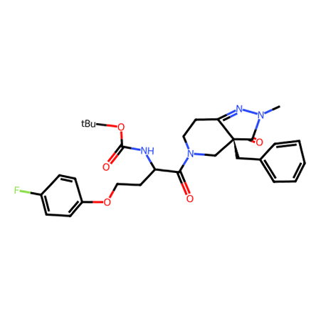 CN1N=C2CCN(C(=O)C(CCOc3ccc(F)cc3)NC(=O)OC(C)(C)C)C[C@@]2(Cc2ccccc2)C1=O